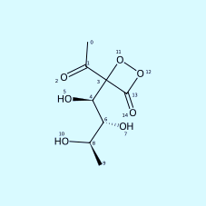 CC(=O)C1([C@H](O)[C@H](O)[C@@H](C)O)OOC1=O